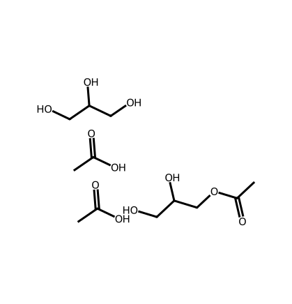 CC(=O)O.CC(=O)O.CC(=O)OCC(O)CO.OCC(O)CO